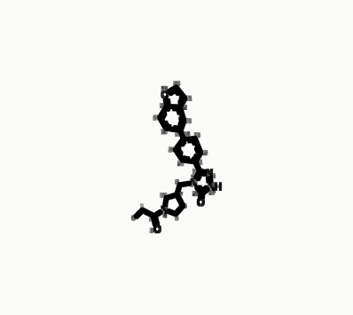 CCC(=O)N1CCC(Cn2c(-c3ccc(-c4ccc5occc5c4)cc3)n[nH]c2=O)C1